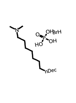 Br.CCCCCCCCCCCCCCCCCN(C)C.O=P(O)(O)O